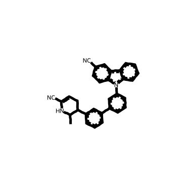 CC1NC(C#N)=CCC1c1cccc(-c2cccc(-n3c4ccccc4c4cc(C#N)ccc43)c2)c1